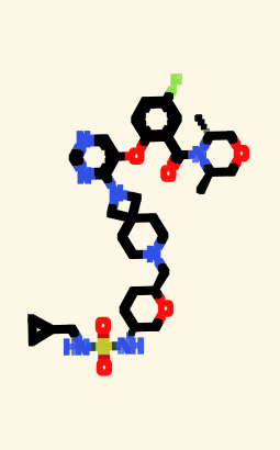 C[C@@H]1COC[C@@H](C)N1C(=O)c1cc(F)ccc1Oc1cncnc1N1CC2(CCN(C[C@@H]3CC[C@@H](NS(=O)(=O)NCC4CC4)CO3)CC2)C1